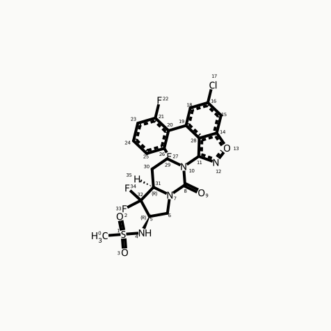 CS(=O)(=O)N[C@@H]1CN2C(=O)N(c3noc4cc(Cl)cc(-c5c(F)cccc5F)c34)CC[C@@H]2C1(F)F